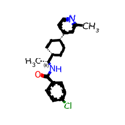 Cc1cc([C@H]2CC[C@@H]([C@@H](C)NC(=O)c3ccc(Cl)cc3)CC2)ccn1